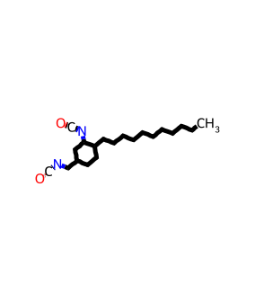 CCCCCCCCCCCC1CCC(CN=C=O)CC1N=C=O